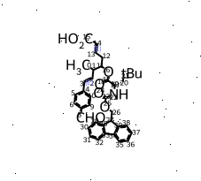 CC(/C=C/c1ccc(C=O)cc1)C(C/C=C/C(=O)O)OC(=O)[C@H](CC(C)(C)C)NC(=O)OCC1c2ccccc2-c2ccccc21